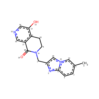 Cc1ccc2nc(CN3CCc4c(O)cncc4C3=O)cn2c1